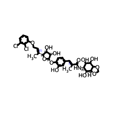 C/C(=C\c1ccc(O[C@@H]2O[C@H](/C(C)=C/COc3cccc(Cl)c3Cl)[C@@H](O)[C@@H]2O)c(O)c1)C(=O)N[C@@H]1C(O)C(O)C2OCO[C@H]2[C@@H]1O